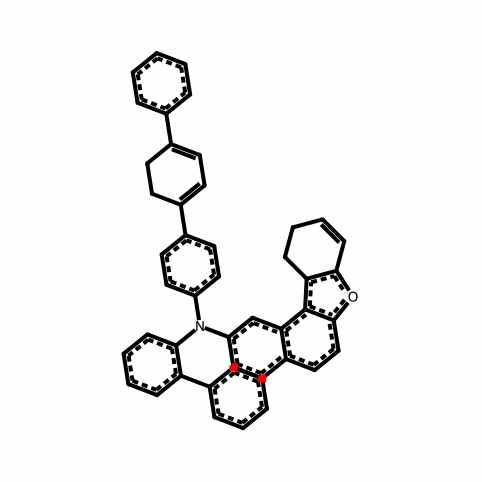 C1=Cc2oc3ccc4ccc(N(c5ccc(C6=CC=C(c7ccccc7)CC6)cc5)c5ccccc5-c5ccccc5)cc4c3c2CC1